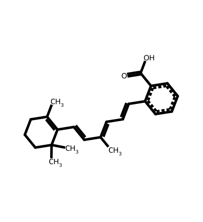 CC(C=CC1=C(C)CCCC1(C)C)=C/C=C/c1ccccc1C(=O)O